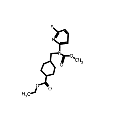 CCOC(=O)C1CCC(CN(C(=O)OC)c2cccc(F)n2)CC1